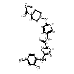 COC(=O)[C@H]1CC[C@@H](Oc2ccc(NC(=O)c3nnc(Nc4ccc(Br)cc4Cl)o3)cn2)CC1